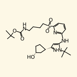 CC(C)(C)OC(=O)NCCCCS(=O)(=O)c1cccc(Nc2cc([C@H]3CC[C@@H](O)C3)nn2C(C)(C)C)n1